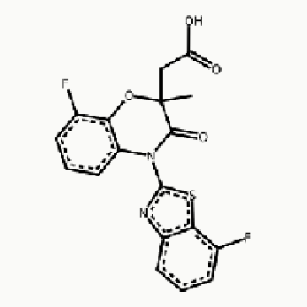 CC1(CC(=O)O)Oc2c(F)cccc2N(c2nc3cccc(F)c3s2)C1=O